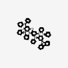 c1ccc(N2c3ccccc3B3c4cc5c(cc4N(c4ccccc4)c4cc(-n6c7ccccc7c7ccccc76)cc2c43)B2c3ccccc3N3c4ccccc4B4c6ccccc6N(c6ccccc6)c6cc(c2c3c64)O5)cc1